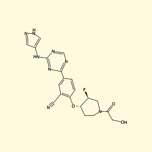 N#Cc1cc(-c2ncnc(Nc3cn[nH]c3)n2)ccc1O[C@H]1CCN(C(=O)CO)C[C@@H]1F